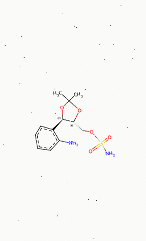 CC1(C)O[C@H](c2ccccc2N)[C@@H](COS(N)(=O)=O)O1